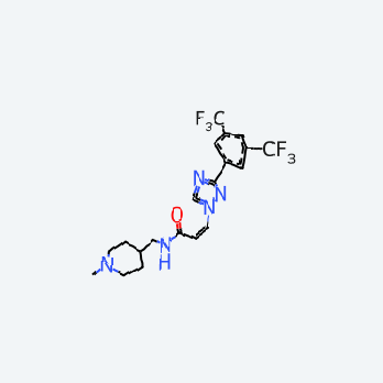 CN1CCC(CNC(=O)/C=C\n2cnc(-c3cc(C(F)(F)F)cc(C(F)(F)F)c3)n2)CC1